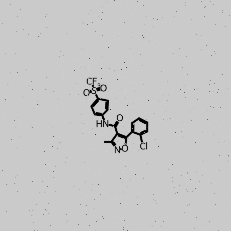 Cc1noc(-c2ccccc2Cl)c1C(=O)Nc1ccc(S(=O)(=O)C(F)(F)F)cc1